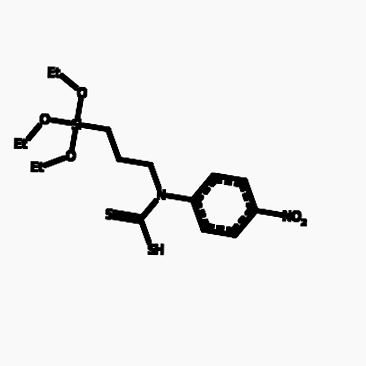 CCO[Si](CCCN(C(=S)S)c1ccc([N+](=O)[O-])cc1)(OCC)OCC